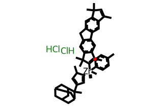 Cl.Cl.[CH2]=[Zr]([CH3])([C]1=CC(C2(C)C3CC4CC(C3)CC2C4)=CC1C)([C]1=C(C)c2cc3c(cc2C1(C)C)Cc1cc2c(cc1-3)C(C)=CC2(C)C)[c]1ccc(C)cc1